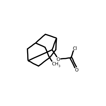 CC12CC3CC(C1)C(OC(=O)Cl)C(C3)C2